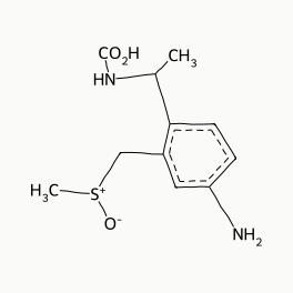 CC(NC(=O)O)c1ccc(N)cc1C[S+](C)[O-]